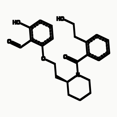 O=Cc1c(O)cccc1OCC[C@@H]1CCCCN1C(=O)c1ccccc1CCO